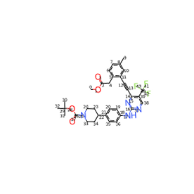 COC(=O)Cc1ccc(C)cc1C#Cc1nc(Nc2ccc(C3CCN(C(=O)OC(C)(C)C)CC3)cc2)ncc1C(F)(F)F